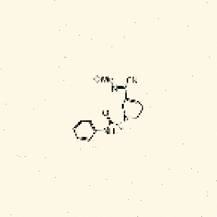 CON=C(C#N)C1=CCCN(OC(=O)Nc2ccccc2)C1